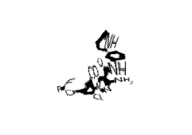 Nc1ncn(-c2c(Cl)cc(OC(F)F)cc2Cl)c(=O)c1C(=O)Nc1cccc([C@@H]2CCCN2)c1